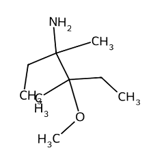 CCC(C)(N)C(C)(CC)OC